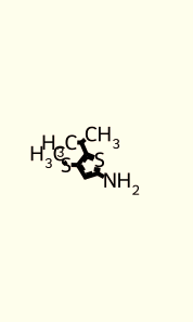 CSc1cc(N)sc1C(C)C